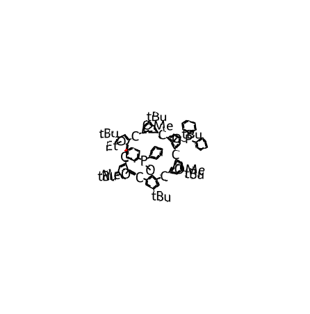 CCO/C1=C\CC(=C/C(C)C(C)(C)C)/C(OC)=C/Cc2cc(C(C)(C)C)cc(c2OCP(c2ccccc2)c2ccccc2)Cc2cc(C(C)(C)C)cc(c2OC)Cc2cc(C(C)(C)C)cc(c2OCP(c2ccccc2)c2ccccc2)Cc2cc(C(C)(C)C)cc(c2OC)C\C1=C\C(C)C(C)(C)C